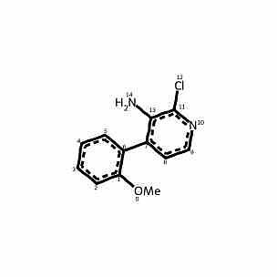 COc1ccccc1-c1ccnc(Cl)c1N